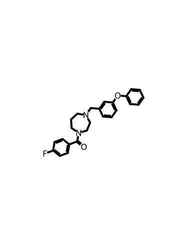 O=C(c1ccc(F)cc1)N1CCCN(Cc2cccc(Oc3ccccc3)c2)CC1